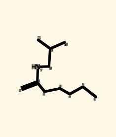 C=C(CCCCC)NCC(C)C